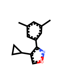 Cc1cc(C)cc(-c2nocc2C2CC2)c1